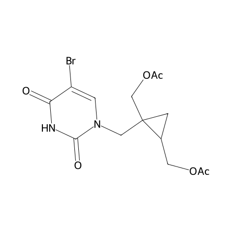 CC(=O)OCC1CC1(COC(C)=O)Cn1cc(Br)c(=O)[nH]c1=O